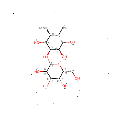 CC(=O)N[C@@H](CC(C)(C)C)[C@@H](O)[C@H](O[C@@H]1O[C@H](CO)[C@H](O)[C@H](O)[C@H]1O)[C@H](O)CO